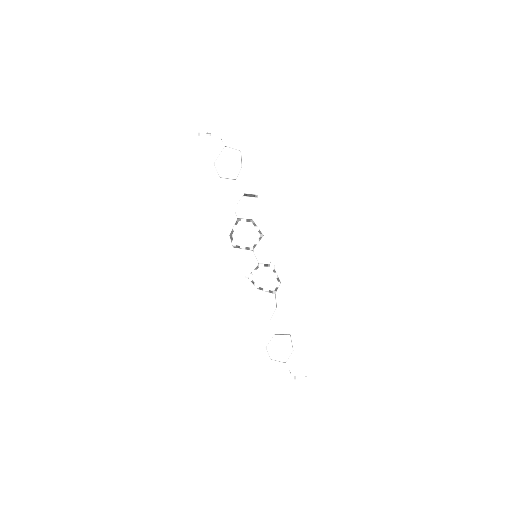 CCCCC[C@H]1CC[C@H](CCc2cnc(-c3ccc(OC(=O)[C@H]4CC[C@H](CCCCC)CC4)cc3)nc2)CC1